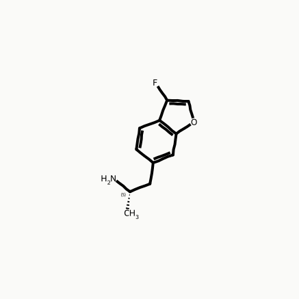 C[C@H](N)Cc1ccc2c(F)coc2c1